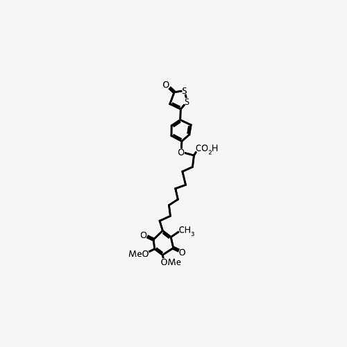 COC1=C(OC)C(=O)C(CCCCCCCCC(Oc2ccc(-c3cc(=O)ss3)cc2)C(=O)O)=C(C)C1=O